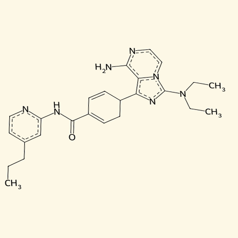 CCCc1ccnc(NC(=O)C2=CCC(c3nc(N(CC)CC)n4ccnc(N)c34)C=C2)c1